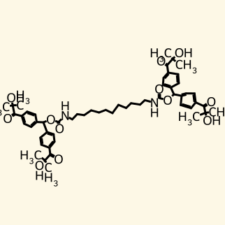 CC(C)(O)C(=O)c1ccc(C(OC(=O)NCCCCCCCCCCCCNC(=O)OC(c2ccc(C(=O)C(C)(C)O)cc2)c2ccc(C(=O)C(C)(C)O)cc2)c2ccc(C(=O)C(C)(C)O)cc2)cc1